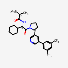 CN[C@@H](C)C(=O)N[C@H](C(=O)N1CCC[C@H]1c1cncc(-c2cc(C(F)(F)F)cc(C(F)(F)F)c2)c1)C1CCCCC1